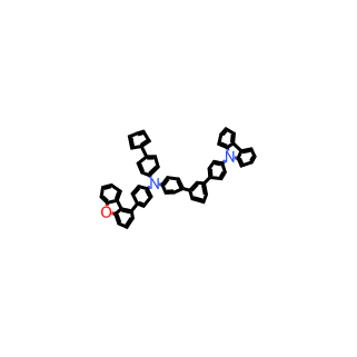 c1ccc(-c2ccc(N(c3ccc(-c4cccc(-c5ccc(-n6c7ccccc7c7ccccc76)cc5)c4)cc3)c3ccc(-c4cccc5oc6ccccc6c45)cc3)cc2)cc1